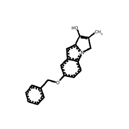 CC1=C(O)c2cc3cc(OCc4ccccc4)ccc3n2C1